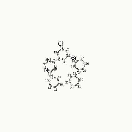 Clc1cc(Br)cc(-c2ncnc(-c3ccccc3)n2)c1.c1ccc(-c2ccccc2)cc1